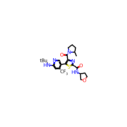 CC1CCCN1C(=O)c1nc(C(=O)NC2CCOC2)sc1-c1cnc(NC(C)(C)C)cc1C(F)(F)F